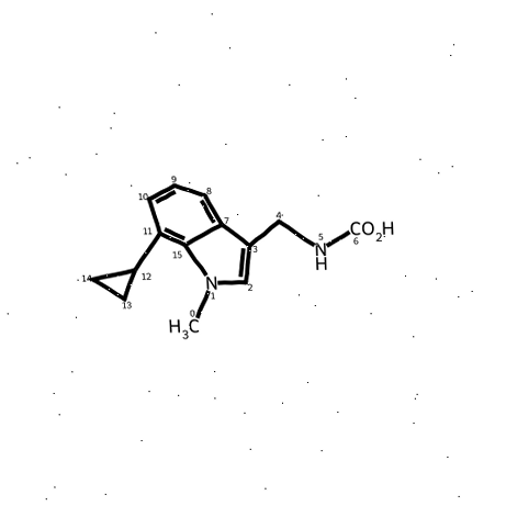 Cn1cc(CNC(=O)O)c2cccc(C3CC3)c21